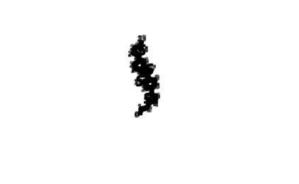 CC=Cc1ccc(-c2ccc3c(c2)sc2c4ccc(-c5ccc(C)s5)cc4sc32)s1